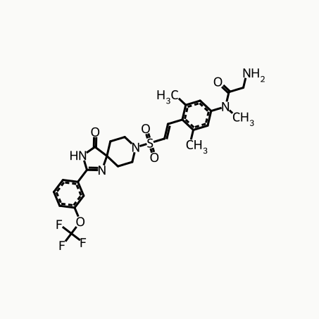 Cc1cc(N(C)C(=O)CN)cc(C)c1C=CS(=O)(=O)N1CCC2(CC1)N=C(c1cccc(OC(F)(F)F)c1)NC2=O